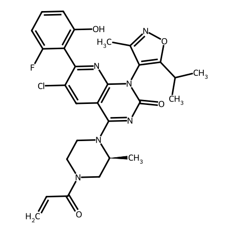 C=CC(=O)N1CCN(c2nc(=O)n(-c3c(C)noc3C(C)C)c3nc(-c4c(O)cccc4F)c(Cl)cc23)[C@@H](C)C1